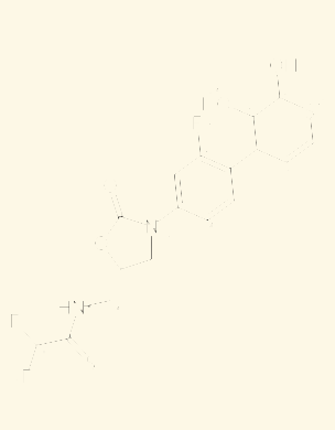 O=C1O[C@@H](CNC(=S)C(F)F)CN1c1ccc(C2C=CSC(O)C2O)c(F)c1